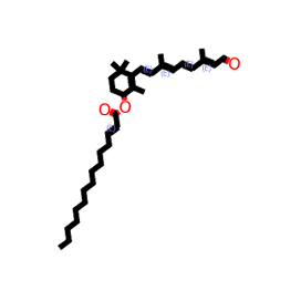 CCCCCCCCCCCC/C=C/C(=O)OC1CCC(C)(C)C(/C=C/C(C)=C/C=C/C(C)=C/C=O)=C1C